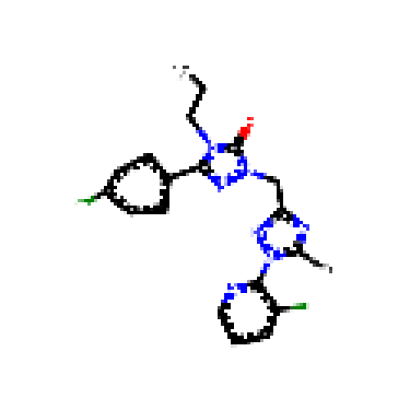 CCc1nc(Cn2nc(-c3ccc(Cl)cc3)n(CCC(F)(F)F)c2=O)nn1-c1ncccc1F